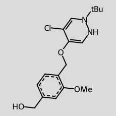 COc1cc(CO)ccc1COC1=CNN(C(C)(C)C)C=C1Cl